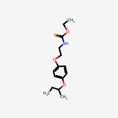 CCOC(=S)NCCOc1ccc(OC(C)CC)cc1